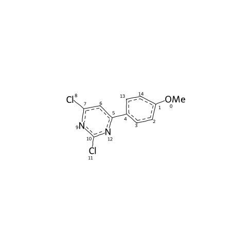 COc1ccc(-c2cc(Cl)nc(Cl)n2)cc1